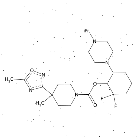 Cc1nc(C2(C)CCN(C(=O)OC3C(N4CCN(C(C)C)CC4)CCCC3(F)F)CC2)no1